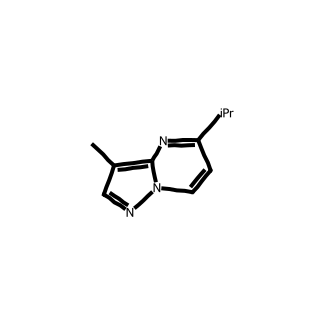 Cc1cnn2ccc(C(C)C)nc12